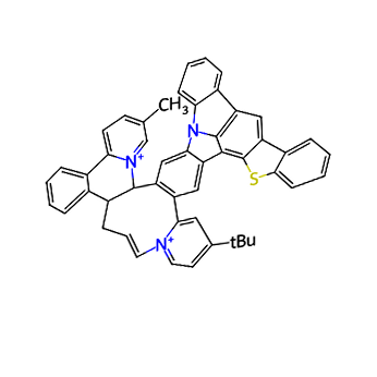 Cc1ccc2[n+](c1)C1c3cc4c(cc3-c3cc(C(C)(C)C)cc[n+]3/C=C/CC1c1ccccc1-2)c1c2sc3ccccc3c2cc2c3ccccc3n4c21